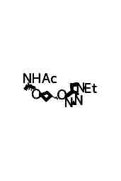 CCn1ccc2c(OC[C@H]3C[C@H](OC[C@H](C)NC(C)=O)C3)ncnc21